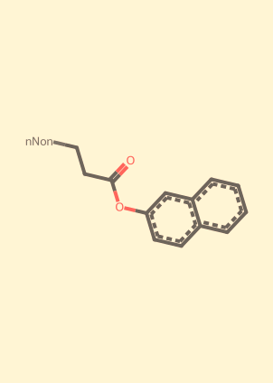 CCCCCCCCCCCC(=O)Oc1ccc2ccccc2c1